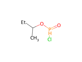 CCC(C)O[PH](=O)Cl